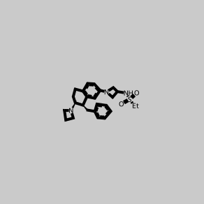 CCS(=O)(=O)NC1CN(c2ccc3c(c2)[C@@H](Cc2ccccc2)[C@@H](N2CCC2)CC3)C1